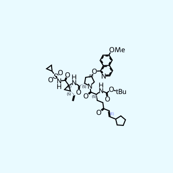 C=C[C@@H]1C[C@]1(NC(=O)[C@@H]1C[C@@H](Oc2nccc3cc(OC)ccc23)CN1C(=O)[C@H](CCC(=O)/C=C/C1CCCC1)NC(=O)OC(C)(C)C)C(=O)NS(=O)(=O)C1CC1